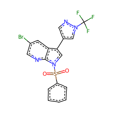 O=S(=O)(c1ccccc1)n1cc(-c2cnn(C(F)(F)F)c2)c2cc(Br)cnc21